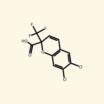 O=C(O)C1(C(F)(F)F)C=Cc2cc(Cl)c(Cl)cc2O1